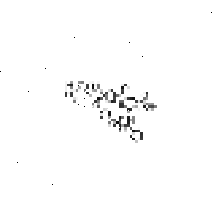 CC(C)(C)COC(=O)N1CCN(C(=O)C(CCC(=O)O)NC(=O)c2cc(OC3CCCC3)nc(-c3ccccc3)n2)CC1